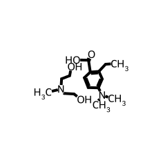 CCc1cc(N(C)C)ccc1C(=O)O.CN(CCO)CCO